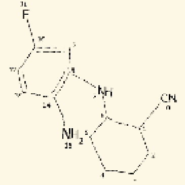 N#CC1CCCCC1Nc1cc(F)ccc1N